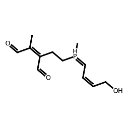 C/C(C=O)=C(/C=O)CC/[PH](C)=C\C=C/CO